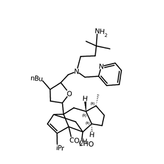 CCCCC1CC(C23C[C@@H]4[C@H](C)CC[C@H]4C4(C=O)CC2C=C(C(C)C)C34C(=O)O)OC1CN(CCC(C)(C)N)Cc1ccccn1